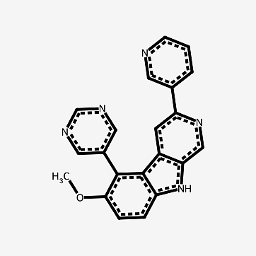 COc1ccc2[nH]c3cnc(-c4cccnc4)cc3c2c1-c1cncnc1